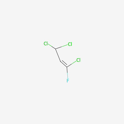 F/C(Cl)=C/C(Cl)Cl